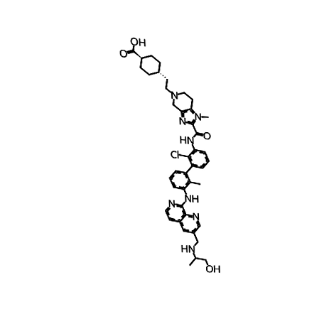 Cc1c(Nc2nccc3cc(CNC(C)CO)cnc23)cccc1-c1cccc(NC(=O)c2nc3c(n2C)CCN(CC[C@H]2CC[C@H](C(=O)O)CC2)C3)c1Cl